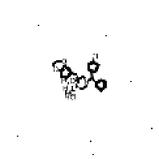 CN1CCN(C(c2ccccc2)c2ccc(Cl)cc2)CC1(C)Cc1ccc2c(c1)OCCO2.Cl.Cl